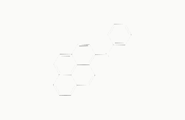 c1ccc([N]c2ccc3ccc4cccc5ccc2c3c45)cc1